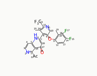 CC(=O)c1nccc2[nH]c(-c3c(Oc4ccc(F)c(F)c4C)cnc(C(F)(F)F)c3C)cc(=O)c12